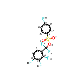 O=S(=O)(OC(F)(F)c1ccc(F)c(F)c1F)c1ccc(F)cc1